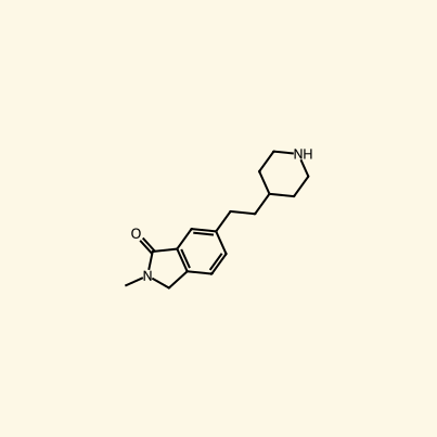 CN1Cc2ccc(CCC3CCNCC3)cc2C1=O